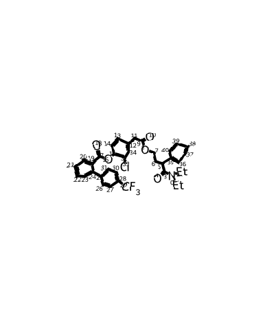 CCN(CC)C(=O)C(CCOC(=O)Cc1ccc(OC(=O)c2ccccc2-c2ccc(C(F)(F)F)cc2)c(Cl)c1)c1ccccc1